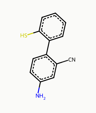 N#Cc1cc(N)ccc1-c1ccccc1S